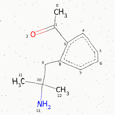 CC(=O)c1ccccc1CC(C)(C)N